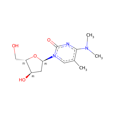 Cc1cn([C@H]2C[C@@H](O)[C@H](CO)O2)c(=O)nc1N(C)C